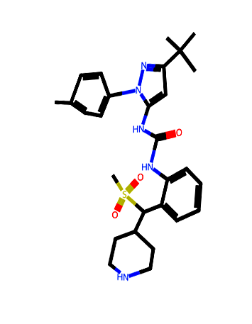 Cc1ccc(-n2nc(C(C)(C)C)cc2NC(=O)Nc2ccccc2C(C2CCNCC2)S(C)(=O)=O)cc1